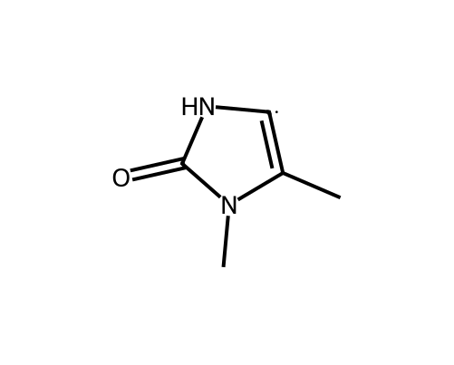 Cc1[c][nH]c(=O)n1C